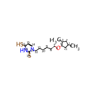 CC1CC(C)C(OCCCCCCN2C=CC(S)NC2=S)C1